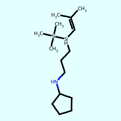 CC(C)=C[SiH](CCCNC1CCCC1)[Si](C)(C)C